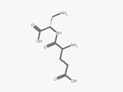 NC[C@H](NC(=O)C(N)CCC(=O)O)C(=O)O